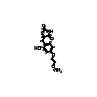 Cl.NOCCOc1ccc(CC2SC(=O)NC2=O)cc1